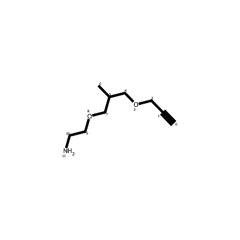 C#CCOCC(C)COCCN